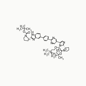 CC(C)(C)OC(=O)N1CCC[C@H]1c1nc2cc(-c3ccc(-c4ncc(-c5cnc([C@@H]6CCCN6C(=O)OC(C)(C)C)n5COCC[Si](C)(C)C)cn4)cc3)ccc2[nH]1